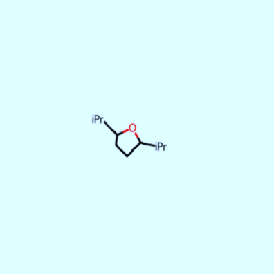 CC(C)C1CCC(C(C)C)O1